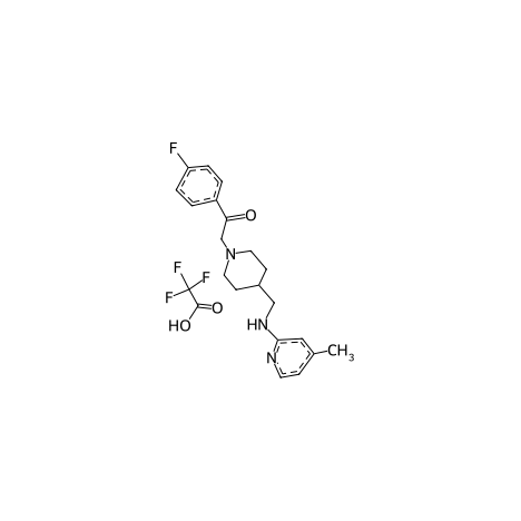 Cc1ccnc(NCC2CCN(CC(=O)c3ccc(F)cc3)CC2)c1.O=C(O)C(F)(F)F